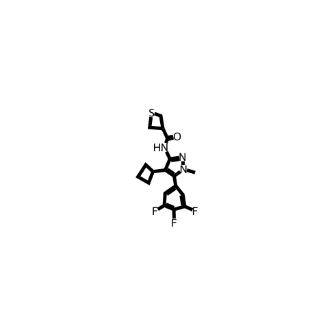 Cn1nc(NC(=O)C2CSC2)c(C2CCC2)c1-c1cc(F)c(F)c(F)c1